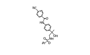 CC(C)S(=O)(=O)NCC(C)(O)c1ccc(NC(=O)c2ccc(C#N)cc2)cc1